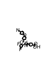 N#Cc1ccc(Oc2ccc(COc3c(F)cc(F)cc3-c3csc(N4CCC(C(=O)O)CC4)n3)cc2)cc1